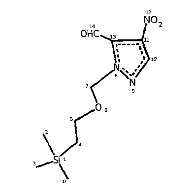 C[Si](C)(C)CCOCn1ncc([N+](=O)[O-])c1C=O